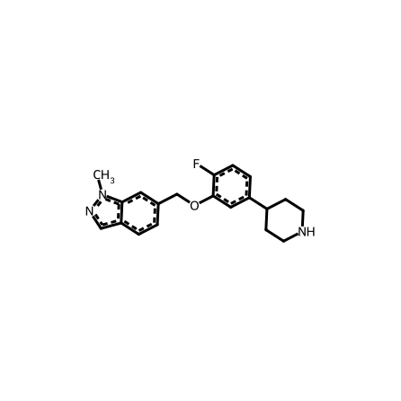 Cn1ncc2ccc(COc3cc(C4CCNCC4)ccc3F)cc21